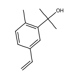 C=Cc1ccc(C)c(C(C)(C)O)c1